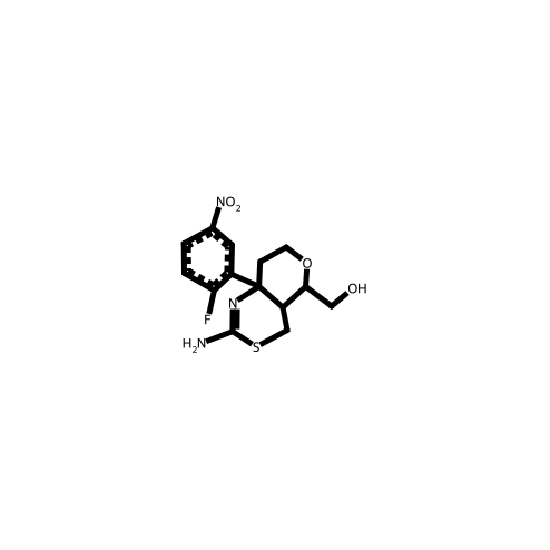 NC1=NC2(c3cc([N+](=O)[O-])ccc3F)CCOC(CO)C2CS1